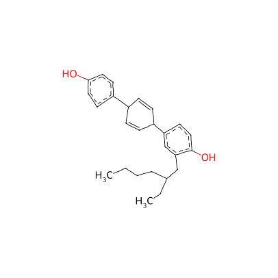 CCCCC(CC)Cc1cc(C2C=CC(c3ccc(O)cc3)C=C2)ccc1O